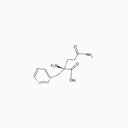 NC(=O)CC[C@@](N)(Cc1ccccc1)C(=O)O